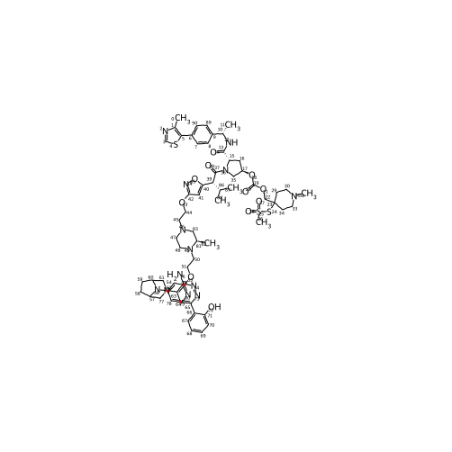 Cc1ncsc1-c1ccc([C@H](C)NC(=O)[C@@H]2C[C@@H](OC(=O)OCC3(SS(C)(=O)=O)CCN(C)CC3)CN2C(=O)[C@@H](c2cc(OCCN3CCN(CCOc4cc(N5C6CCC5CN(c5cc(-c7ccccc7O)nnc5N)C6)ccn4)[C@H](C)C3)no2)C(C)C)cc1